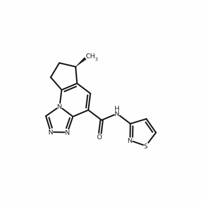 C[C@@H]1CCc2c1cc(C(=O)Nc1ccsn1)c1nncn21